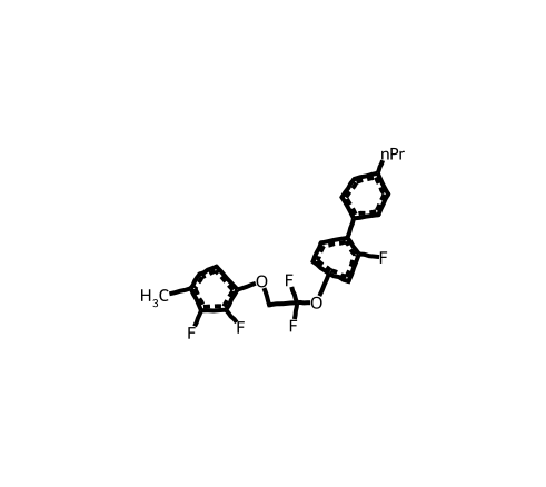 CCCc1ccc(-c2ccc(OC(F)(F)COc3ccc(C)c(F)c3F)cc2F)cc1